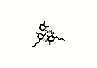 CCCCc1cc(C)cc(P([SiH2]c2cccc(C)c2C)c2cc(C)cc(CCCC)c2O)c1O